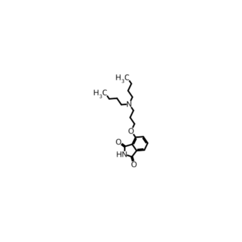 CCCCN(CCCC)CCCOc1cccc2c1C(=O)NC2=O